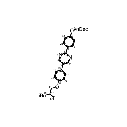 CCCCCCCCCCOc1ccc(-c2ncc(-c3ccc(OCC(F)C(C)CC)cc3)cn2)cc1